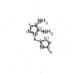 Cc1csc(Cn2ncc(N)c2N)n1